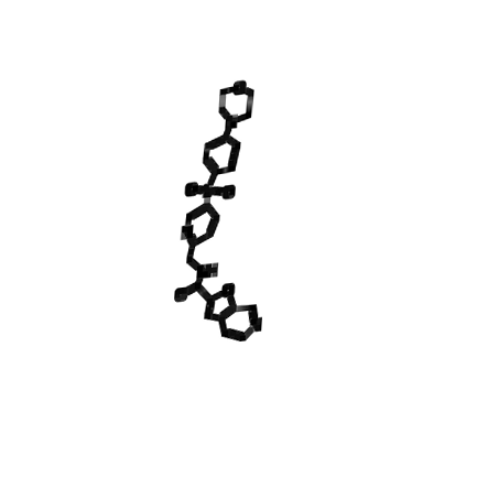 O=C(NCc1ccc(S(=O)(=O)c2ccc(N3CCOCC3)cc2)cn1)c1cc2ccncc2o1